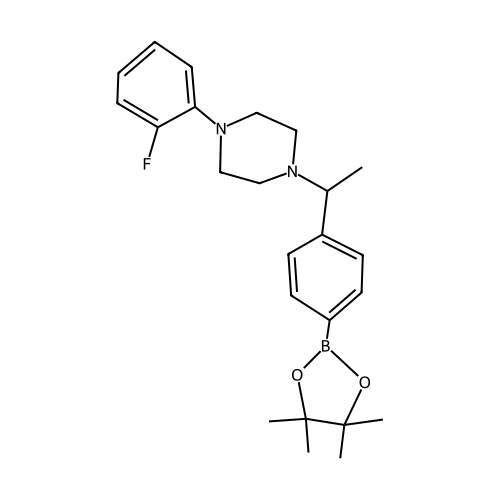 CC(c1ccc(B2OC(C)(C)C(C)(C)O2)cc1)N1CCN(c2ccccc2F)CC1